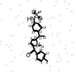 Cc1ccc(C(=O)c2ccc(C(C)c3ccc(NS(C)(=O)=O)cc3)n2C)cc1